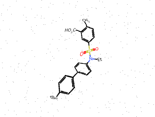 CCN(c1ccc(-c2ccc(C(C)(C)C)cc2)cc1)S(=O)(=O)c1ccc(C)c(C(=O)O)c1